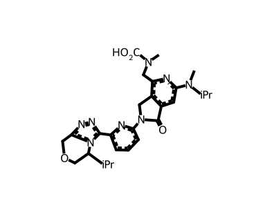 CC(C)C1COCc2nnc(-c3cccc(N4Cc5c(cc(N(C)C(C)C)nc5CN(C)C(=O)O)C4=O)n3)n21